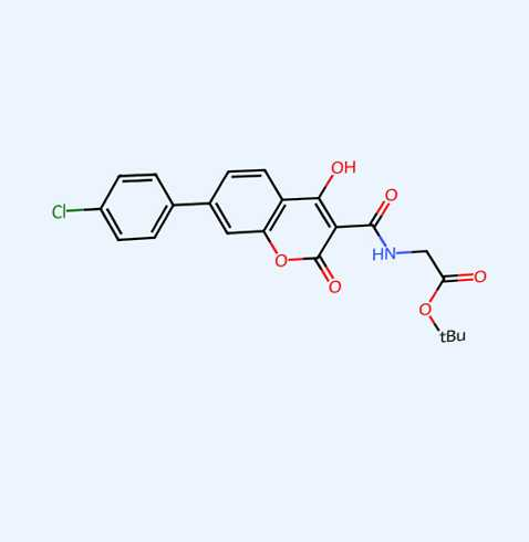 CC(C)(C)OC(=O)CNC(=O)c1c(O)c2ccc(-c3ccc(Cl)cc3)cc2oc1=O